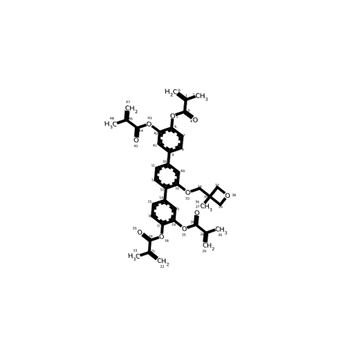 C=C(C)C(=O)Oc1ccc(-c2ccc(-c3ccc(OC(=O)C(=C)C)c(OC(=O)C(=C)C)c3)c(OCC3(C)COC3)c2)cc1OC(=O)C(=C)C